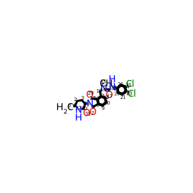 C=C1CCC(N2C(=O)c3cccc(CN(C)C(=O)Nc4ccc(Cl)c(Cl)c4)c3C2=O)C(=O)N1